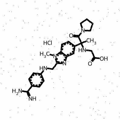 Cl.Cn1c(CNc2ccc(C(=N)N)cc2)nc2cc(C(C)(NCC(=O)O)C(=O)N3CCCC3)ccc21